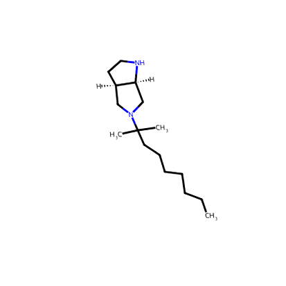 CCCCCCCC(C)(C)N1C[C@H]2CCN[C@H]2C1